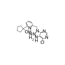 NN1Nc2c(Cl)ncnc2N1Cc1cccc(C2(O)CCCC2)n1